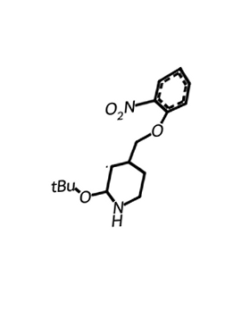 CC(C)(C)OC1[CH]C(COc2ccccc2[N+](=O)[O-])CCN1